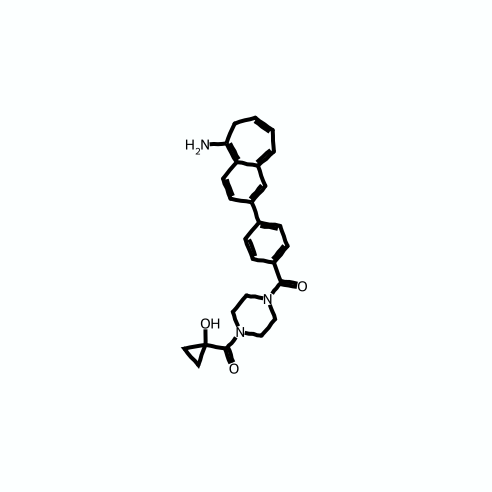 NC1=c2ccc(-c3ccc(C(=O)N4CCN(C(=O)C5(O)CC5)CC4)cc3)cc2=CC=CC1